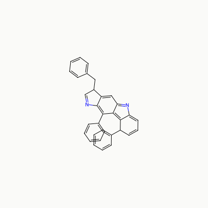 C1=CC(c2ccccc2)C2=c3c(-c4ccccc4)c4c(cc3=NC2=C1)C(Cc1ccccc1)C=N4